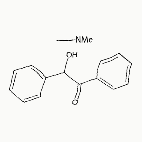 CNC.O=C(c1ccccc1)C(O)c1ccccc1